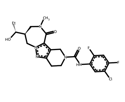 CC[C@@H](O)[C@H]1CN(C)C(=O)c2c3c(nn2C1)CCN(C(=O)Nc1cc(Cl)c(F)cc1F)C3